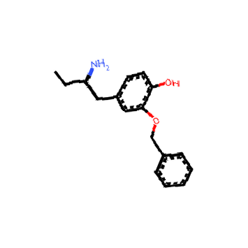 CCC(N)Cc1ccc(O)c(OCc2ccccc2)c1